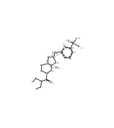 CCC(CC)C(=O)N1CCN2C[C@@H](Nc3cccc(C(F)(F)F)n3)C[C@H]2C1